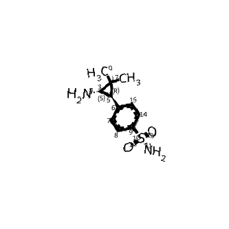 CC1(C)[C@@H](N)[C@@H]1c1ccc(S(N)(=O)=O)cc1